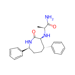 C[C@H](N[C@@H]1C(=O)N[C@H](c2ccccc2)CC[C@H]1c1ccccc1)C(N)=O